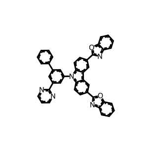 c1ccc(-c2cc(-c3ncccn3)cc(-n3c4ccc(-c5nc6ccccc6o5)cc4c4cc(-c5nc6ccccc6o5)ccc43)c2)cc1